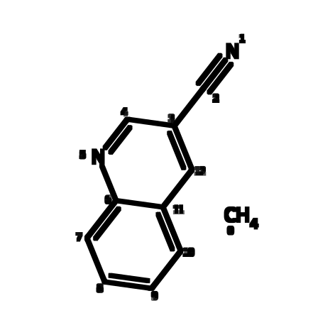 C.N#Cc1cnc2ccccc2c1